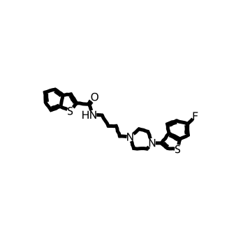 O=C(NCCCCN1CCN(c2csc3cc(F)ccc23)CC1)c1cc2ccccc2s1